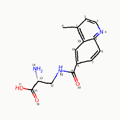 Cc1ccnc2ccc(C(=O)NC[C@@H](N)C(=O)O)cc12